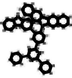 c1ccc(-c2nc(-c3ccccc3)nc(-c3ccc(-n4c5cc6ccccc6cc5c5cc6ccccc6cc54)c(-c4ccc5oc6ccccc6c5c4)c3)n2)cc1